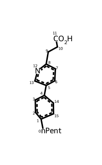 CCCCCc1ccc(-c2ccc(CCC(=O)O)nc2)cc1